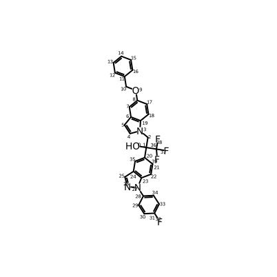 OC(Cn1ccc2cc(OCc3ccccc3)ccc21)(c1ccc2c(cnn2-c2ccc(F)cc2)c1)C(F)(F)F